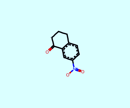 O=C1[CH]CCc2ccc([N+](=O)[O-])cc21